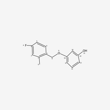 Cc1cc(F)ccc1COc1cccc(O)c1